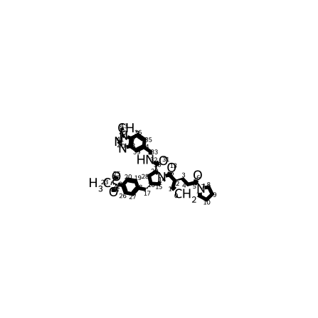 C=C[C@H](CCC(=O)N1CCCC1)C(=O)N1C[C@H](Cc2ccc(S(C)(=O)=O)cc2)C[C@H]1C(=O)NCc1ccc2c(c1)nnn2C